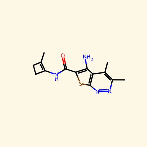 CC1=C(NC(=O)c2sc3nnc(C)c(C)c3c2N)CC1